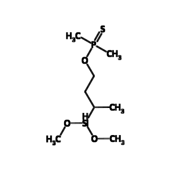 CO[SiH](OC)C(C)CCOP(C)(C)=S